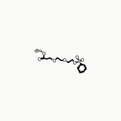 CC(C)(C)OC(=O)CCOCCOCCOS(=O)(=O)c1ccccc1